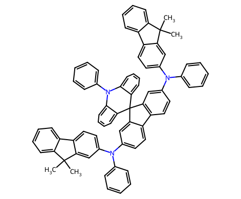 CC1(C)c2ccccc2-c2ccc(N(c3ccccc3)c3ccc4c(c3)C3(c5cc(N(c6ccccc6)c6ccc7c(c6)C(C)(C)c6ccccc6-7)ccc5-4)c4ccccc4N(c4ccccc4)c4ccccc43)cc21